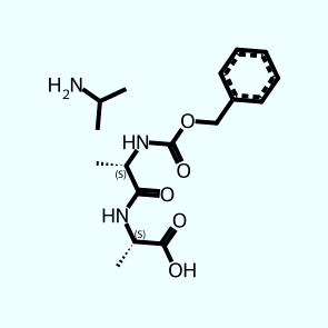 CC(C)N.C[C@H](NC(=O)[C@H](C)NC(=O)OCc1ccccc1)C(=O)O